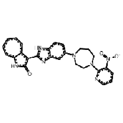 O=c1[nH]c2cccccc-2c1-c1nc2cc(N3CCCN(c4ncccc4[N+](=O)[O-])CC3)ccc2[nH]1